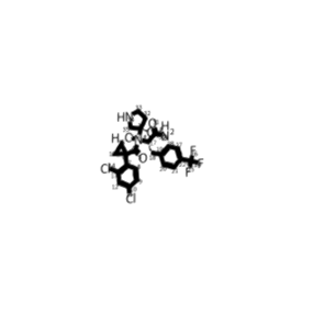 C[C@@]1([N+](C)(C(=O)C2(c3ccc(Cl)cc3Cl)CC2)[C@@H](Cc2ccc(C(F)(F)F)cc2)C(N)=O)CCNC1